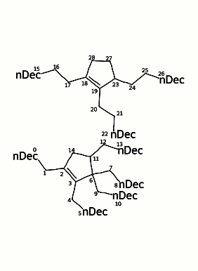 CCCCCCCCCCCC1=C(CCCCCCCCCCC)C(CCCCCCCCCCC)(CCCCCCCCCCC)C(CCCCCCCCCCC)C1.CCCCCCCCCCCCC1=C(CCCCCCCCCCCC)C(CCCCCCCCCCCC)CC1